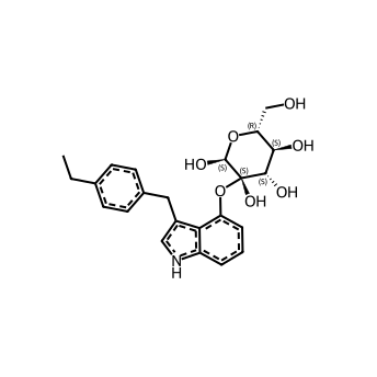 CCc1ccc(Cc2c[nH]c3cccc(O[C@]4(O)[C@@H](O)O[C@H](CO)[C@@H](O)[C@@H]4O)c23)cc1